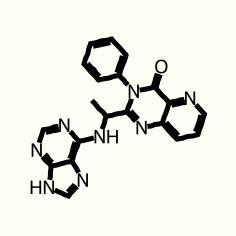 CC(Nc1ncnc2[nH]cnc12)c1nc2cccnc2c(=O)n1-c1ccccc1